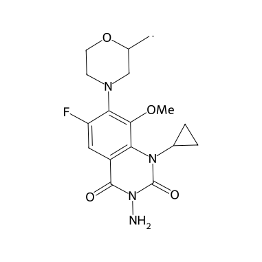 [CH2]C1CN(c2c(F)cc3c(=O)n(N)c(=O)n(C4CC4)c3c2OC)CCO1